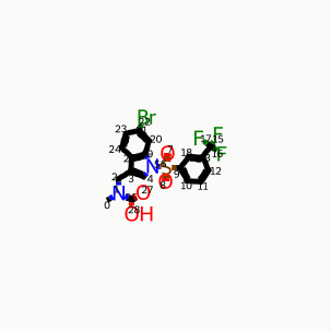 CN(Cc1cn(S(=O)(=O)c2cccc(C(F)(F)F)c2)c2cc(Br)ccc12)C(=O)O